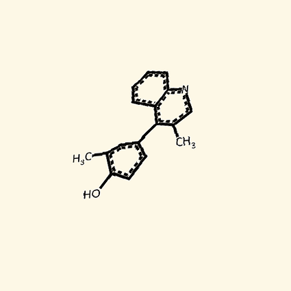 Cc1cc(-c2c(C)cnc3ccccc23)ccc1O